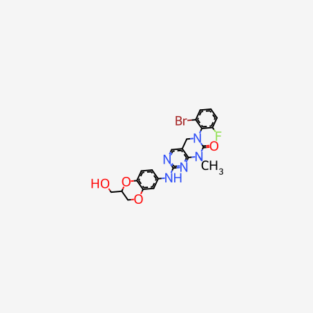 CN1C(=O)N(c2c(F)cccc2Br)Cc2cnc(Nc3ccc4c(c3)OCC(CO)O4)nc21